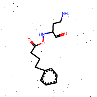 NCCC(C=O)NOC(=O)CCCc1ccccc1